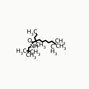 CCCC(C)(CCCCCC(C)(C)C)C(=O)NCC(C)(C)C